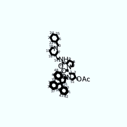 CC(=O)O[C@H]1C[C@@H](C(=O)N2CCC[C@@H]2C(=O)NC[C@H]2CCCN(CC3CCCCC3)C2)N(C(=O)CC(c2ccccc2)(c2ccccc2)c2ccccc2)C1